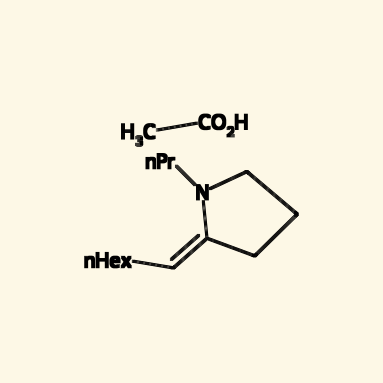 CC(=O)O.CCCCCCC=C1CCCN1CCC